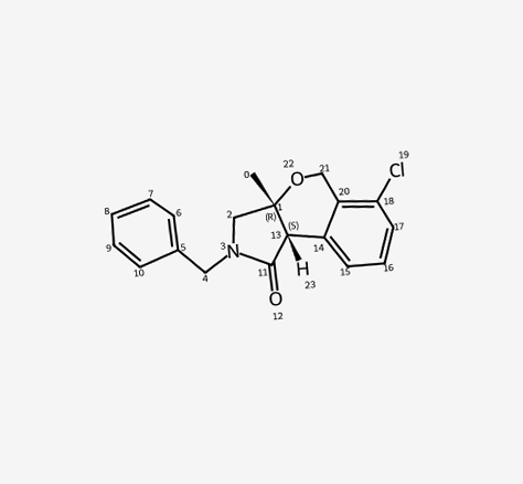 C[C@]12CN(Cc3ccccc3)C(=O)[C@H]1c1cccc(Cl)c1CO2